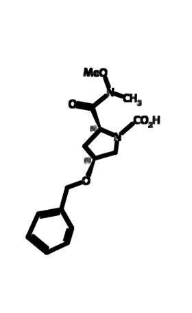 CON(C)C(=O)[C@@H]1C[C@H](OCc2ccccc2)CN1C(=O)O